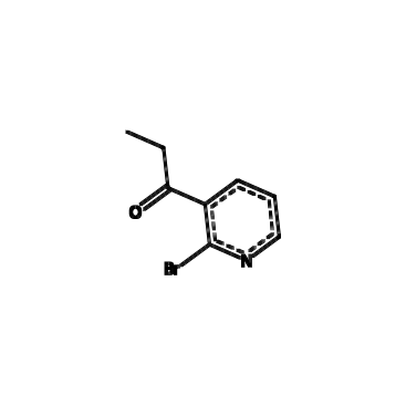 CCC(=O)c1cccnc1Br